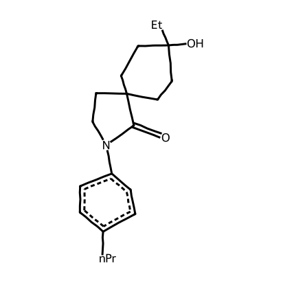 CCCc1ccc(N2CCC3(CCC(O)(CC)CC3)C2=O)cc1